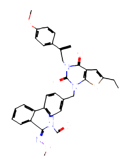 C=C(Cn1c(=O)c2cc(CC)sc2n(Cc2ccc(-c3ccccc3/C(=N/OC)NC=O)cc2)c1=O)c1ccc(OC)cc1